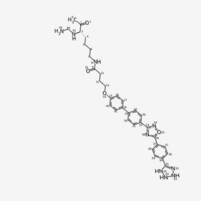 CC(=O)[C@H](CCCCNC(=O)CCCOc1ccc(-c2ccc(-c3noc(-c4ccc(C5=NNNN5)cc4)n3)cc2)cc1)NCN